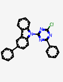 Clc1nc(-c2ccccc2)nc(-n2c3ccccc3c3cc(-c4ccccc4)ccc32)n1